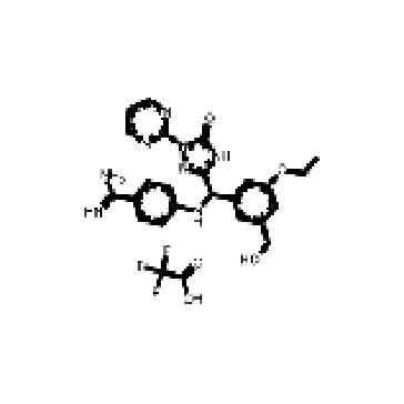 CCOc1cc(CO)cc(C(Nc2ccc(C(=N)N)cc2)c2nn(-c3ncccn3)c(=O)[nH]2)c1.O=C(O)C(F)(F)F